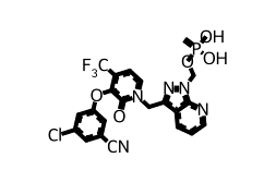 C=P(O)(O)OCn1nc(Cn2ccc(C(F)(F)F)c(Oc3cc(Cl)cc(C#N)c3)c2=O)c2cccnc21